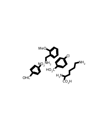 COc1ccccc1CN.NCCCCC(N)C(=O)O.O=C(O)c1ccc(Cl)cc1.O=Cc1ccc([N+](=O)[O-])cc1